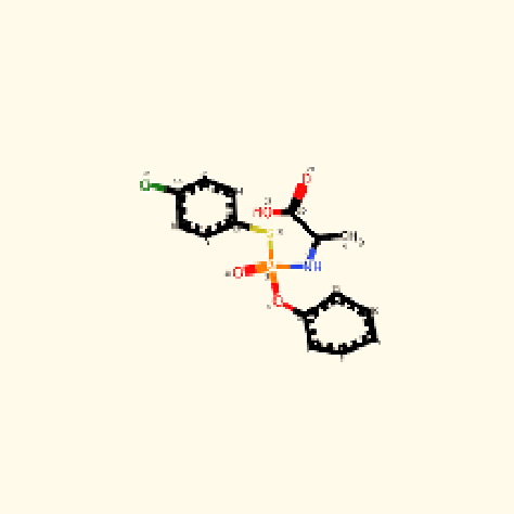 CC(NP(=O)(Oc1ccccc1)Sc1ccc(Cl)cc1)C(=O)O